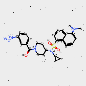 CN(C)c1cccc2c(S(=O)(=O)N(C3CC3)C3CCN(C(=O)c4cccc(N)c4)CC3)cccc12